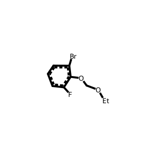 CCOCOc1c(F)cccc1Br